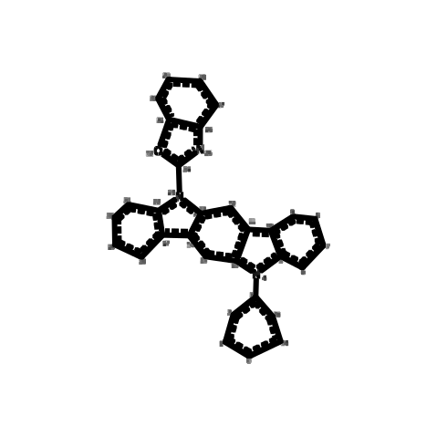 c1ccc(-n2c3ccccc3c3cc4c(cc32)c2ccccc2n4-c2nc3ccccc3o2)cc1